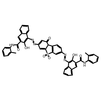 Cc1ccccc1NC(=O)c1cc2ccccc2c(N=NC2=CC(=O)C3C(=C2)S(=O)(=O)c2cc(N=Nc4c(O)c(C(=O)Nc5ccccc5C)cc5ccccc45)ccc23)c1O